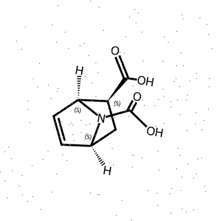 O=C(O)[C@H]1C[C@H]2C=C[C@@H]1N2C(=O)O